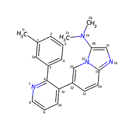 Cc1cccc(-c2ncccc2-c2ccc3ncc(N(C)C)n3c2)c1